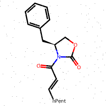 CCCCC/C=C/C(=O)N1C(=O)OC[C@@H]1Cc1ccccc1